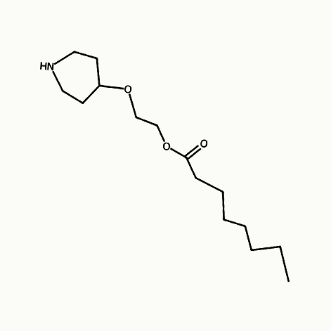 CCCCCCCC(=O)OCCOC1CCNCC1